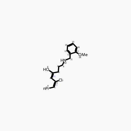 CCC/C=C(Cl)\C=C(\O)CCCNCc1ccccc1OC